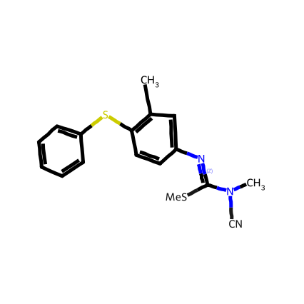 CS/C(=N\c1ccc(Sc2ccccc2)c(C)c1)N(C)C#N